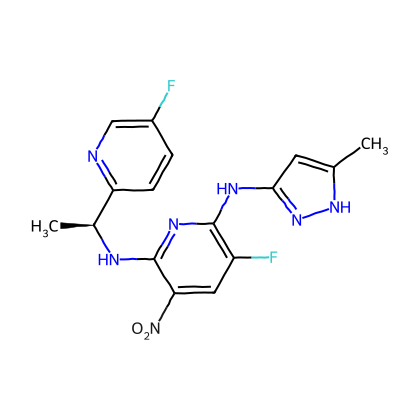 Cc1cc(Nc2nc(N[C@@H](C)c3ccc(F)cn3)c([N+](=O)[O-])cc2F)n[nH]1